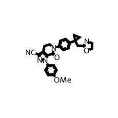 COc1ccc(-n2nc(C#N)c3c2C(=O)N(c2ccc(C4(CC5=NCCO5)CC4)cc2)CC3)cc1